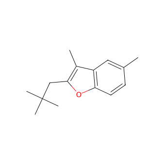 Cc1ccc2oc(CC(C)(C)C)c(C)c2c1